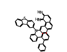 N=C1C=Cc2ccc3ccc(N(c4ccc5sc6ccccc6c5c4)c4ccccc4-c4ccccc4-c4ccccc4)cc3c2C1=N